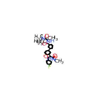 CNC(=O)C1c2cc(-c3cccc(C(=O)NC(C)(C)C(=O)N(C)C)c3)ccc2OC1c1ccc(F)cc1